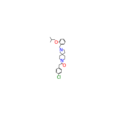 CC(C)COc1ccccc1CN1CCC2(CCN(C(=O)Cc3ccc(Cl)cc3)CC2)C1